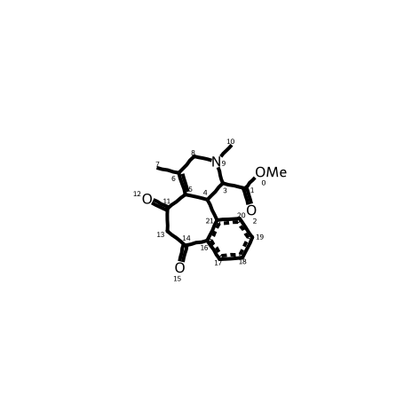 COC(=O)C1C2C(=C(C)CN1C)C(=O)CC(=O)c1ccccc12